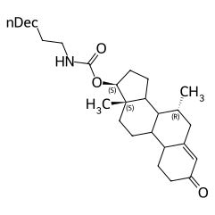 CCCCCCCCCCCCNC(=O)O[C@H]1CCC2C3C(CC[C@@]21C)C1CCC(=O)C=C1C[C@H]3C